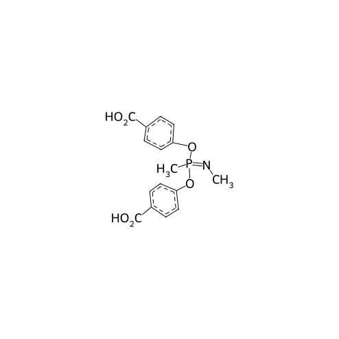 CN=P(C)(Oc1ccc(C(=O)O)cc1)Oc1ccc(C(=O)O)cc1